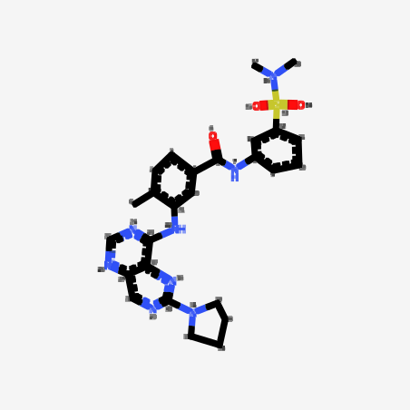 Cc1ccc(C(=O)Nc2cccc(S(=O)(=O)N(C)C)c2)cc1Nc1ncnc2cnc(N3CCCC3)nc12